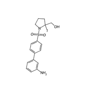 Nc1cccc(-c2ccc(S(=O)(=O)N3CCCC3(I)CO)cc2)c1